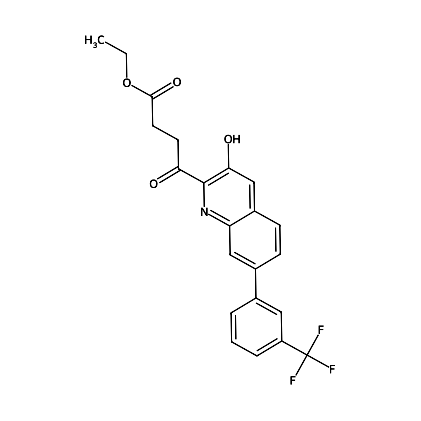 CCOC(=O)CCC(=O)c1nc2cc(-c3cccc(C(F)(F)F)c3)ccc2cc1O